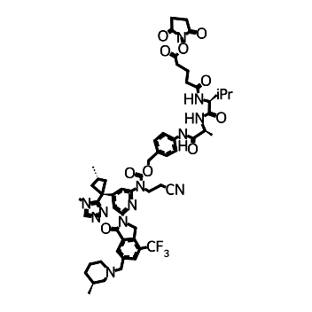 CC(C)[C@H](NC(=O)CCCC(=O)ON1C(=O)CCC1=O)C(=O)N[C@@H](C)C(=O)Nc1ccc(COC(=O)N(CCC#N)c2cc([C@]3(c4nncn4C)C[C@@H](C)C3)cc(N3Cc4c(cc(CN5CCC[C@H](C)C5)cc4C(F)(F)F)C3=O)n2)cc1